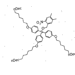 CCCCCCCCCCCCCCCCOc1ccc([Si](OCc2cc(C)c(C)cc2[N+](=O)[O-])(c2ccc(OCCCCCCCCCCCCCCCC)cc2)c2ccc(OCCCCCCCCCCCCCCCC)cc2)cc1